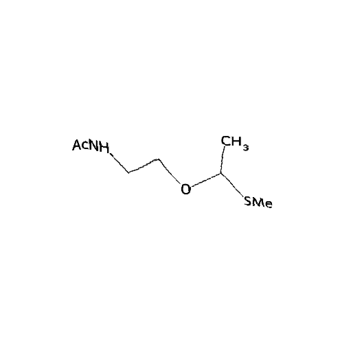 CSC(C)OCCNC(C)=O